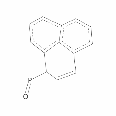 O=PC1C=Cc2cccc3cccc1c23